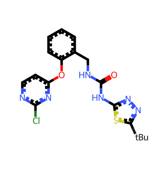 CC(C)(C)c1nnc(NC(=O)NCc2ccccc2Oc2ccnc(Cl)n2)s1